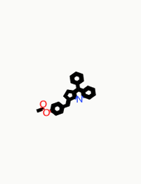 CC(=O)Oc1ccc(C=C2CCc3c2nc2ccccc2c3-c2ccccc2)cc1